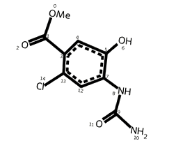 COC(=O)c1cc(O)c(NC(N)=O)cc1Cl